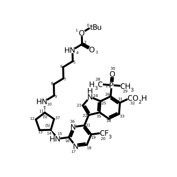 CC(C)(C)OC(=O)NCCCCCN[C@H]1CC[C@H](Nc2ncc(C(F)(F)F)c(-c3c[nH]c4c(P(C)(C)=O)c(C(=O)O)ccc34)n2)C1